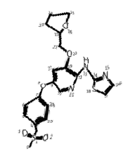 CS(=O)(=O)c1ccc(Oc2cnc(Nc3nccs3)c(OCC3CCCO3)c2)cc1